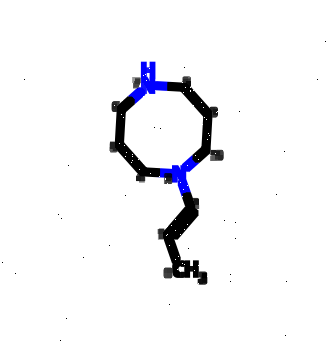 C/C=C/N1CCCNCCC1